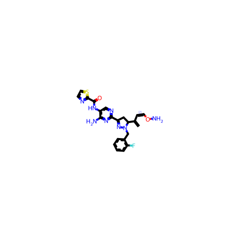 C=C(/C=C\ON)C1CC(c2ncc(NC(=O)c3nccs3)c(N)n2)=NN1Cc1ccccc1F